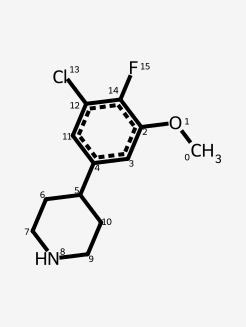 COc1cc(C2CCNCC2)cc(Cl)c1F